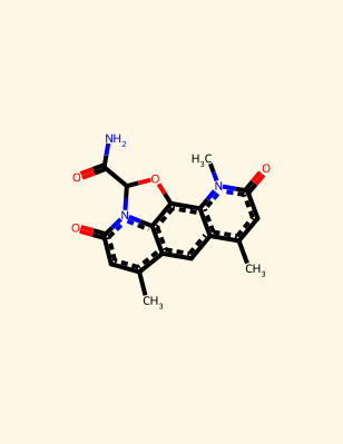 Cc1cc(=O)n(C)c2c3c4c(cc12)c(C)cc(=O)n4C(C(N)=O)O3